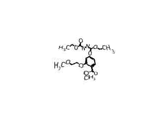 CCOC(=O)N=NC(=O)OCC.COCCOc1ccccc1C(=O)OC